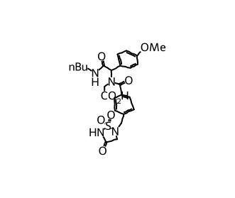 CCCCNC(=O)C(c1ccc(OC)cc1)N(CC(=O)O)C(=O)c1ccc(CN2CC(=O)NS2(=O)=O)cc1